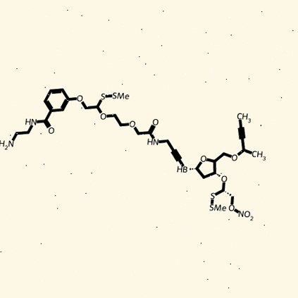 CC#CC(C)OCC1O[C@@H](BC#CCNC(=O)COCCOC(COc2cccc(C(=O)NCCN)c2)SSC)C[C@H]1O[C@H](CO[N+](=O)[O-])SSC